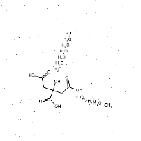 O.O.O.O.O.O.O.O.O.O.O.O.O=C(O)CC(O)(CC(=O)O)C(=O)O